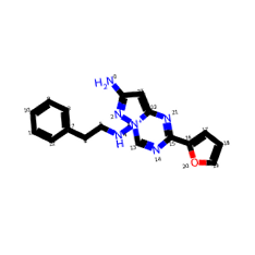 NC1=N[N+]2(NCCc3ccccc3)C=NC(c3ccco3)=NC2=C1